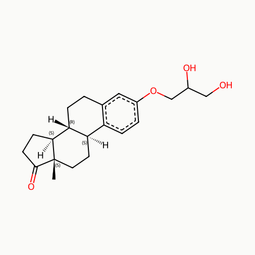 C[C@]12CC[C@@H]3c4ccc(OCC(O)CO)cc4CC[C@H]3[C@@H]1CCC2=O